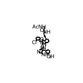 CC(=O)NCC(=O)NCC#Cc1cccc2nc(Cn3nc(-c4cccc(O)c4)c4c(N)cncc43)n(Cc3ccccc3Cl)c(=O)c12